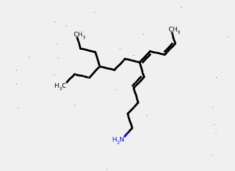 C\C=C/C=C(\C=C\CCCN)CCC(CCC)CCC